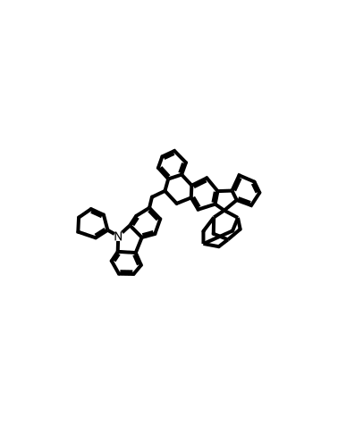 C1=CC(n2c3ccccc3c3ccc(CC4Cc5cc6c(cc5-c5ccccc54)-c4ccccc4C64C5CC6CC(C5)CC4C6)cc32)=CCC1